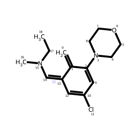 C=c1c(N2CCOCC2)cc(Cl)c/c1=C/N(C)CC